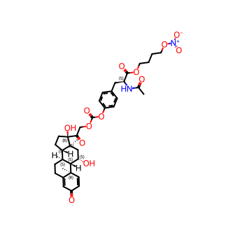 CC(=O)N[C@@H](Cc1ccc(OC(=O)OCC(=O)[C@@]2(O)CC[C@H]3[C@@H]4CCC5=CC(=O)C=C[C@]5(C)[C@H]4[C@@H](O)C[C@@]32C)cc1)C(=O)OCCCCO[N+](=O)[O-]